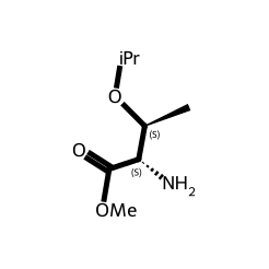 COC(=O)[C@@H](N)[C@H](C)OC(C)C